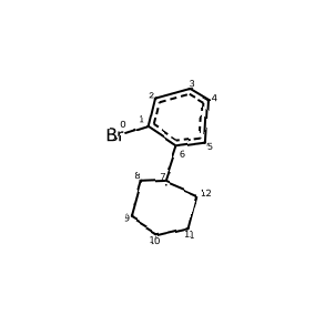 Brc1ccccc1[C]1CCCCC1